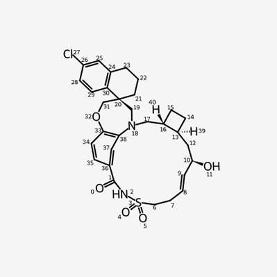 O=C1NS(=O)(=O)CC/C=C/[C@H](O)C[C@@H]2CC[C@H]2CN2C[C@@]3(CCCc4cc(Cl)ccc43)COc3ccc1cc32